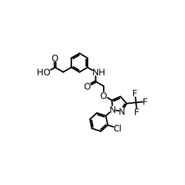 O=C(O)Cc1cccc(NC(=O)COc2cc(C(F)(F)F)nn2-c2ccccc2Cl)c1